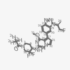 [2H]C([2H])([2H])C(=O)N1CC[C@@H](Nc2nc(OC)c3c(-c4ccc5nnn([C@@H](C)CF)c5c4)ccn3n2)C(F)(F)C1